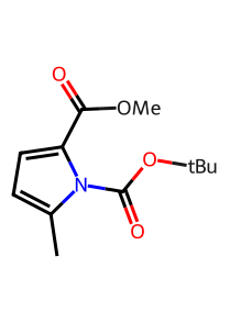 COC(=O)c1ccc(C)n1C(=O)OC(C)(C)C